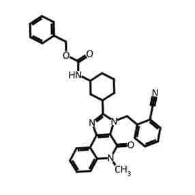 Cn1c(=O)c2c(nc(C3CCCC(NC(=O)OCc4ccccc4)C3)n2Cc2ccccc2C#N)c2ccccc21